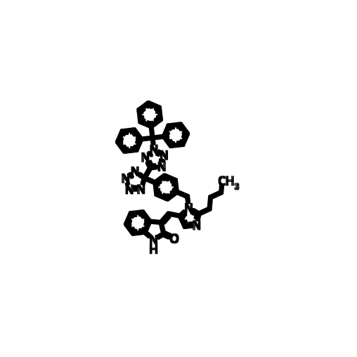 CCCCc1ncc(C=C2C(=O)Nc3ccccc32)n1Cc1ccc(C2(c3nnn(C(c4ccccc4)(c4ccccc4)c4ccccc4)n3)N=NN=N2)cc1